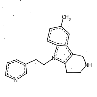 Cc1ccc2c(c1)c1c(n2CCc2cccnc2)CCNC1